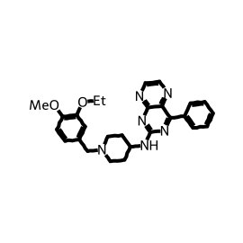 CCOc1cc(CN2CCC(Nc3nc(-c4ccccc4)c4nccnc4n3)CC2)ccc1OC